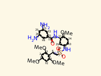 COc1cc(OC)c(/C=C/S(=O)(=O)Nc2ccc(OC)c(NC(=O)c3cc(N)cc(N)c3)c2)c(OC)c1